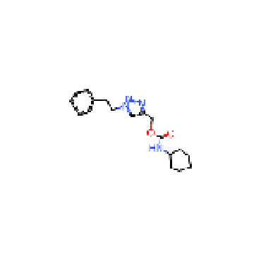 O=C(NC1CCCCC1)OCc1cn(CCc2ccccc2)nn1